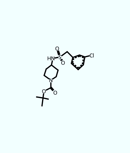 CC(C)(C)OC(=O)N1CCC(NS(=O)(=O)Cc2cccc(Cl)c2)CC1